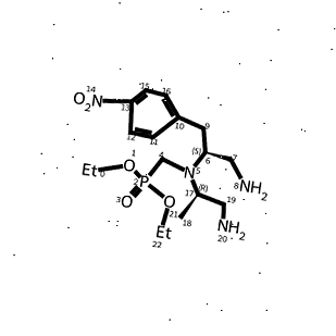 CCOP(=O)(CN([C@H](CN)Cc1ccc([N+](=O)[O-])cc1)[C@H](C)CN)OCC